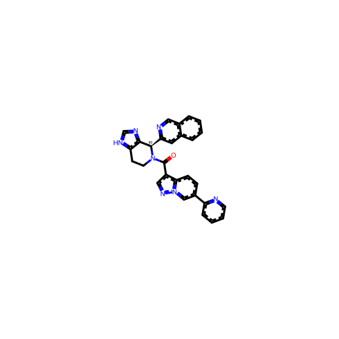 O=C(c1cnn2cc(-c3ccccn3)ccc12)N1CCc2[nH]cnc2[C@H]1c1cc2ccccc2cn1